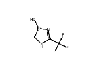 FC(F)(F)C1=NN(S)CN1